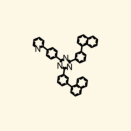 c1ccc(-c2ccc(-c3nc(-c4cccc(-c5cccc6ccccc56)c4)nc(-c4cccc(-c5cccc6ccccc56)c4)n3)cc2)nc1